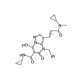 CC(C)Cn1c(=O)c(C(=O)NC2CC2)c(O)n2ncc(/C=C/C(=O)N(C)C3CC3)c12